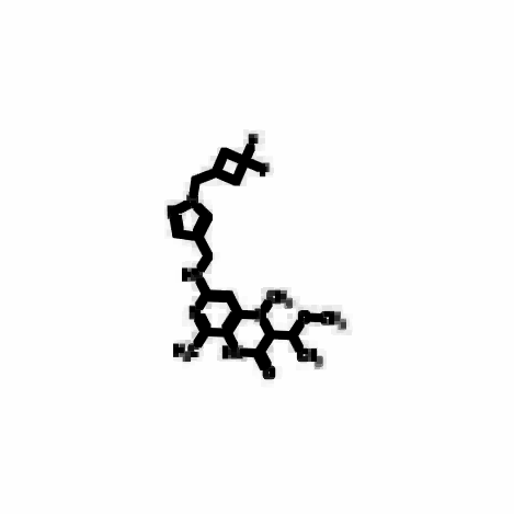 COC(C)C1C(=O)Nc2c(cc(NCc3cnn(CC4CC(F)(F)C4)c3)nc2C)N1C